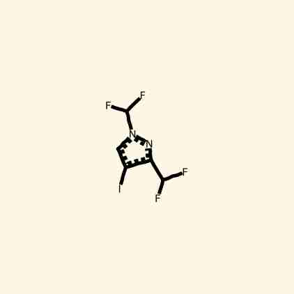 FC(F)c1nn(C(F)F)cc1I